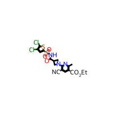 CCOC(=O)c1cc(C#N)c(N2CC(C(=O)NS(=O)(=O)c3cc(Cl)c(Cl)s3)C2)nc1C